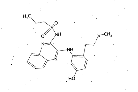 CCCS(=O)(=O)Nc1nc2ccccc2nc1Nc1cc(O)ccc1CCSC